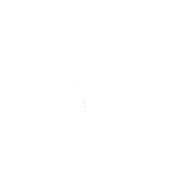 CC(=O)Oc1c(Cl)n(C(C)=O)c2ccc(F)cc12